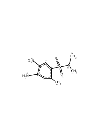 Cc1cc(N)c([N+](=O)[O-])cc1S(=O)(=O)N(C)C